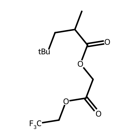 CC(CC(C)(C)C)C(=O)OCC(=O)OCC(F)(F)F